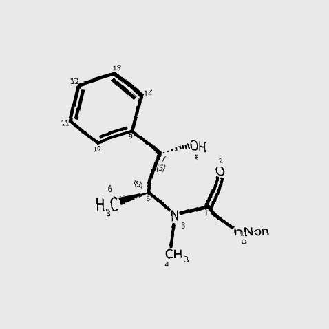 CCCCCCCCCC(=O)N(C)[C@@H](C)[C@@H](O)c1ccccc1